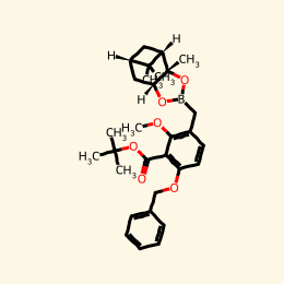 COc1c(CB2O[C@@H]3C[C@@H]4C[C@@H](C4(C)C)[C@]3(C)O2)ccc(OCc2ccccc2)c1C(=O)OC(C)(C)C